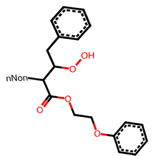 CCCCCCCCCC(C(=O)OCCOc1ccccc1)C(Cc1ccccc1)OO